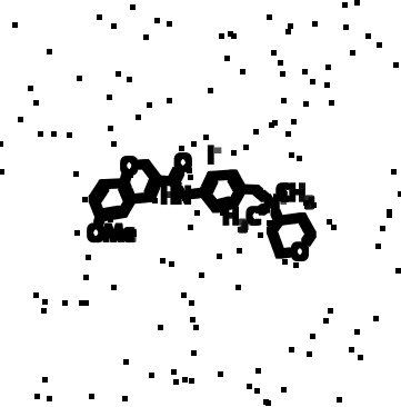 COc1ccc2c(c1)C=C(C(=O)Nc1ccc(C[N+](C)(C)C3CCOCC3)cc1)CO2.[I-]